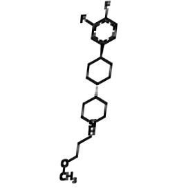 COCCC[SiH]1CCC([C@H]2CC[C@H](c3ccc(F)c(F)c3)CC2)CC1